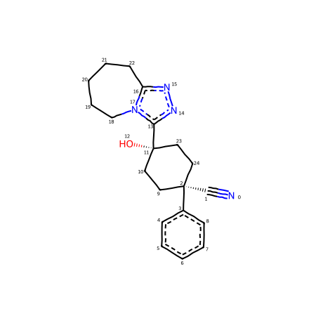 N#C[C@]1(c2ccccc2)CC[C@@](O)(c2nnc3n2CCCCC3)CC1